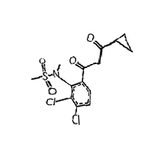 CN(c1c(C(=O)CC(=O)C2CC2)ccc(Cl)c1Cl)S(C)(=O)=O